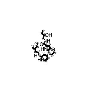 CCC(O)CNC(=O)c1cc2c([nH]1)N(C1=CC(NCCC(C)C=O)NC=C1)CCO2